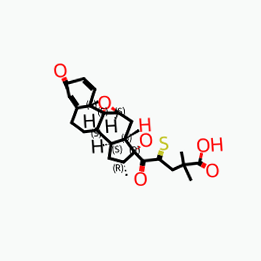 C[C@@H]1C[C@H]2[C@@H]3CCC4=CC(=O)C=C[C@]4(C)[C@@]34O[C@H]4C[C@]2(C)[C@@]1(O)C(=O)C(=S)CC(C)(C)C(=O)O